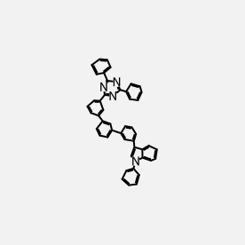 c1ccc(-c2nc(-c3ccccc3)nc(-c3cccc(-c4cccc(-c5cccc(-c6cn(-c7ccccc7)c7ccccc67)c5)c4)c3)n2)cc1